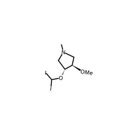 CO[C@@H]1CN(C)C[C@H]1OC(I)I